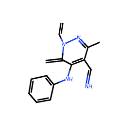 C=CN1N=C(C)C(C=N)=C(Nc2ccccc2)C1=C